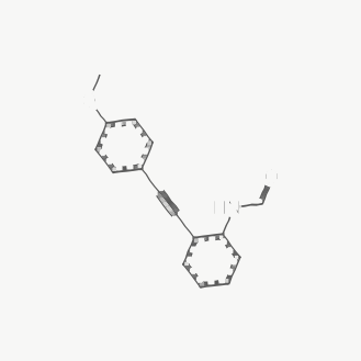 COc1ccc(C#Cc2ccccc2NC=O)cc1